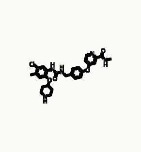 CNC(=O)c1cc(Oc2ccc(CNC(=O)Nc3cc(Cl)c(C)cc3OC3CCNCC3)cc2)ccn1